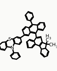 CC1(C)c2cc(-c3c4ccccc4c(-c4ccccc4)c4ccc(-c5ccc6c(c5)SC5=C(C=CCC5)N6C5=CCCC=C5)cc34)c3ccccc3c2C2C=CC=CC21